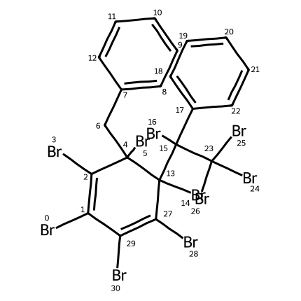 BrC1=C(Br)C(Br)(Cc2ccccc2)C(Br)(C(Br)(c2ccccc2)C(Br)(Br)Br)C(Br)=C1Br